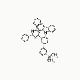 C[SiH](C)c1cccc(-c2ccc(-n3c4ccccc4c4ccccc43)c(-c3nc(-c4ccccc4)nc(-c4ccccc4)n3)c2)c1